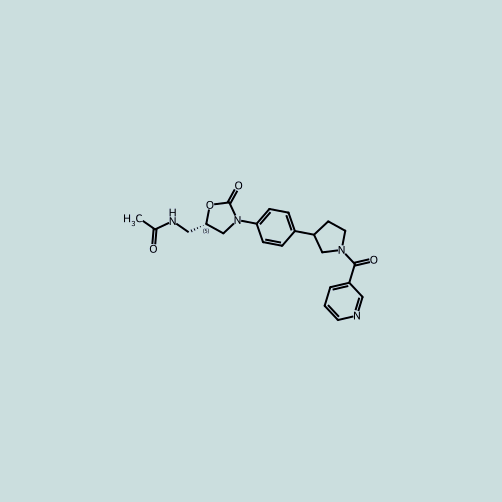 CC(=O)NC[C@H]1CN(c2ccc(C3CCN(C(=O)c4cccnc4)C3)cc2)C(=O)O1